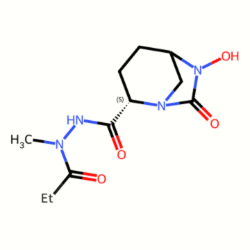 CCC(=O)N(C)NC(=O)[C@@H]1CCC2CN1C(=O)N2O